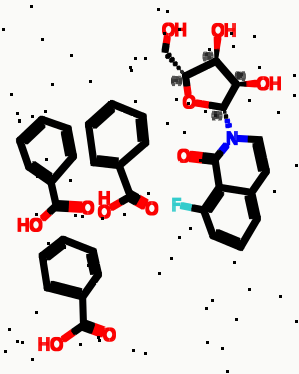 O=C(O)c1ccccc1.O=C(O)c1ccccc1.O=C(O)c1ccccc1.O=c1c2c(F)cccc2ccn1[C@@H]1O[C@H](CO)[C@@H](O)[C@H]1O